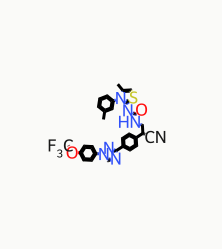 Cc1cccc(-n2c(C)cs/c2=N\C(=O)NCC(C#N)c2ccc(-c3ncn(-c4ccc(OC(F)(F)F)cc4)n3)cc2)c1